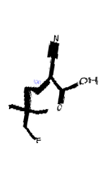 CC(C)(/C=C(/C#N)C(=O)O)CF